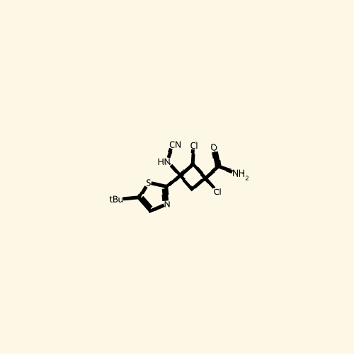 CC(C)(C)c1cnc(C2(NC#N)CC(Cl)(C(N)=O)C2Cl)s1